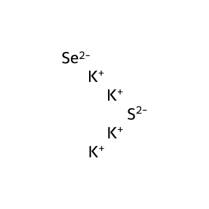 [K+].[K+].[K+].[K+].[S-2].[Se-2]